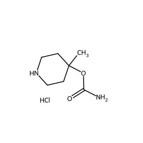 CC1(OC(N)=O)CCNCC1.Cl